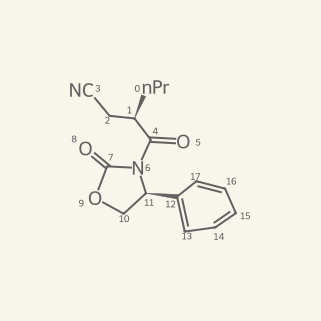 CCC[C@H](CC#N)C(=O)N1C(=O)OC[C@@H]1c1ccccc1